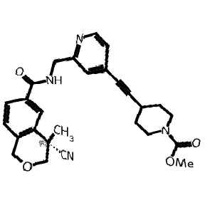 COC(=O)N1CCC(C#Cc2ccnc(CNC(=O)c3ccc4c(c3)[C@](C)(C#N)COC4)c2)CC1